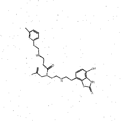 C=C(C)CN(CCNCCc1ccc(O)c2[nH]c(=O)sc12)C(=O)CCNCCc1cccc(C)c1